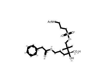 CC(=O)NCCCS(=O)(=O)OCC(C)(C)[C@](O)(CCCOC(=O)Cc1ccccc1)C(=O)O